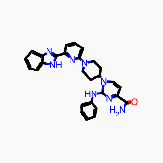 NC(=O)C1=NC(Nc2ccccc2)N(C2CCN(c3cccc(-c4nc5ccccc5[nH]4)n3)CC2)C=C1